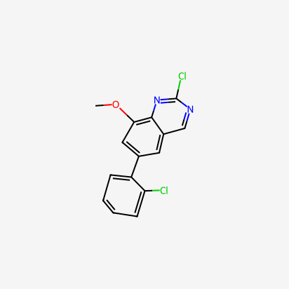 COc1cc(-c2ccccc2Cl)cc2cnc(Cl)nc12